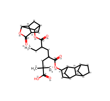 CCC(CC(CC(C)(C)C(=O)O)C(=O)OC1CC2CC1C1C3CCC(C3)C21)C(=O)OC1C2CC3C(=O)OC1C3C2